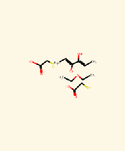 CC=C(O)C(O)=CC.CCOCC.O=C(O)CS.O=C(O)CS